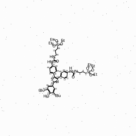 CCO[Si](CCCNC(=O)Nc1ccc(-c2nc(-c3cc(C(C)(C)C)c(O)c(C(C)(C)C)c3)sc2-c2ccc(NC(=O)NCCC[Si](OCC)(OCC)OCC)cc2)cc1)(OCC)OCC